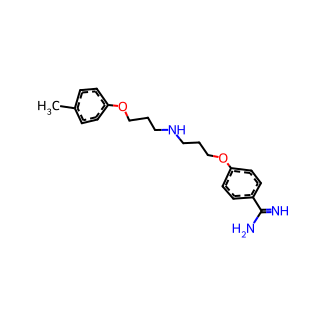 Cc1ccc(OCCCNCCCOc2ccc(C(=N)N)cc2)cc1